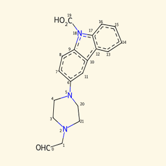 O=CCN1CCN(c2ccc3c(c2)c2ccccc2n3C(=O)O)CC1